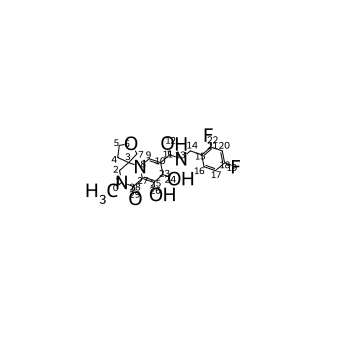 CN1CC2(CCOC2)N2C=C(C(=O)NCc3ccc(F)cc3F)C(O)C(O)=C2C1=O